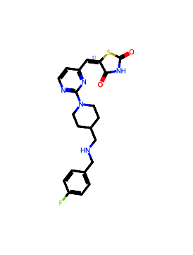 O=C1NC(=O)/C(=C\c2ccnc(N3CCC(CNCc4ccc(F)cc4)CC3)n2)S1